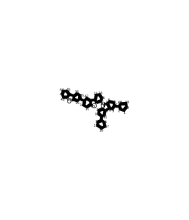 c1ccc(-c2ccc3c(c2)c2cc(-c4ccccc4)ccc2n3-c2cccc3c2oc2ccc(-c4ccc5c(c4)oc4ccccc45)cc23)cc1